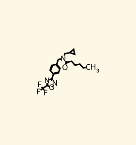 CCCCCC(=O)N(Cc1ccc(-c2noc(C(F)(F)F)n2)cc1)CC1CC1